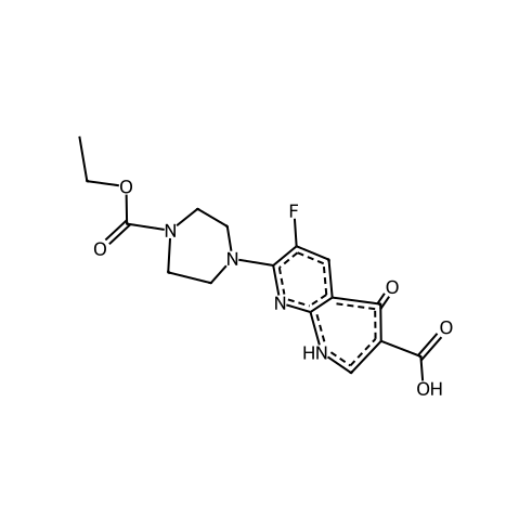 CCOC(=O)N1CCN(c2nc3[nH]cc(C(=O)O)c(=O)c3cc2F)CC1